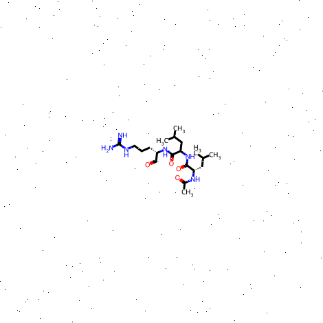 CC(=O)N[C@@H](CC(C)C)C(=O)NC(CC(C)C)C(=O)N[C@H]([C]=O)CCCNC(=N)N